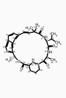 CC(C)[C@@H]1NC(=O)C(C)(C)/C=C/c2ccc3cnc(cc3c2)[C@@H](C)OC(=O)[C@@H]2CCCN(N2)C(=O)[C@H](C)NC1=O